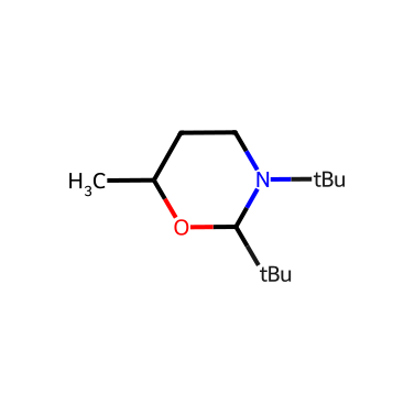 CC1CCN(C(C)(C)C)C(C(C)(C)C)O1